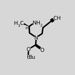 C#CCCN(C[C@@H](C)N)C(=O)OC(C)(C)C